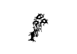 c1ccc(Oc2cc(Sc3ccncc3)cnc2Nc2nc(C3CC3)cs2)cc1